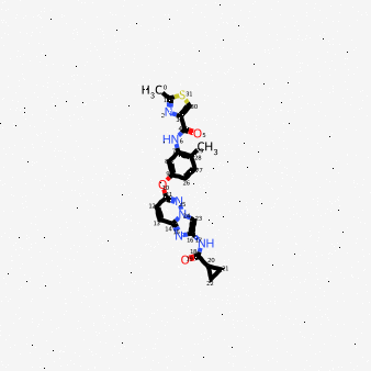 Cc1nc(C(=O)Nc2cc(Oc3ccc4nc(NC(=O)C5CC5)cn4n3)ccc2C)cs1